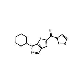 O=C(c1cc2cnn(C3CCCCO3)c2s1)n1ccnc1